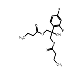 CCCC(=O)OCC(O)(COC(=O)CCC)c1ccc(F)cc1F